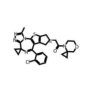 Cc1nnc2n1-c1sc3c(c1C(c1ccccc1Cl)=NC21CC1)C[C@H](CC(=O)N1CCOCC12CC2)C3